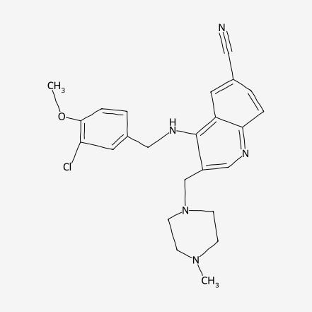 COc1ccc(CNc2c(CN3CCN(C)CC3)cnc3ccc(C#N)cc23)cc1Cl